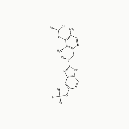 [2H]C([2H])Oc1c(C)cnc(C[S@+]([O-])c2nc3cc(OC([2H])([2H])[2H])ccc3[nH]2)c1C